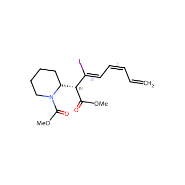 C=C/C=C\C=C(/I)[C@H](C(=O)OC)C1CCCCN1C(=O)OC